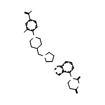 NC(=O)c1ccc(N2CCC(CN3CC[C@H](n4ncc5c(N6CCC(=O)NC6=O)cccc54)C3)CC2)c(F)c1